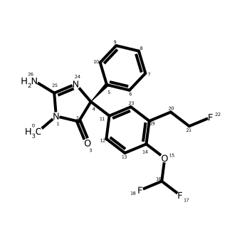 CN1C(=O)[C@@](c2ccccc2)(c2ccc(OC(F)F)c(CCF)c2)N=C1N